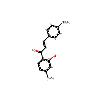 COc1ccc(C(=O)/C=C/c2ccc(NC(C)=O)cc2)c(O)c1